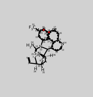 C=C[C@H]1C[N@]2CC[C@H]1C[C@@H]2C(c1ccnc2ccc(OC)cc12)N(C(N)=S)c1cc(C(F)(F)F)cc(C(F)(F)F)c1